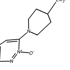 O=C(O)C1CCN(c2cccn[n+]2[O-])CC1